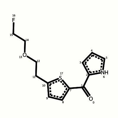 O=C(c1ccc[nH]1)c1ccc(CCOCCF)s1